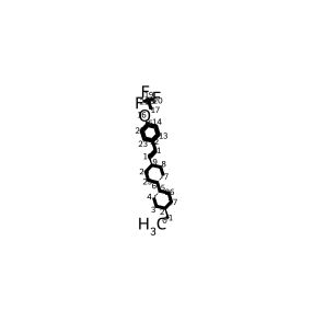 CC[C@H]1CC[C@H]([C@H]2CC[C@H](C=Cc3ccc(OCC(F)(F)F)cc3)CC2)CC1